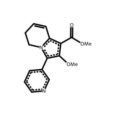 COC(=O)c1c(OC)c(-c2cccnc2)n2c1C=CCC2